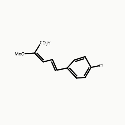 COC(=CC=Cc1ccc(Cl)cc1)C(=O)O